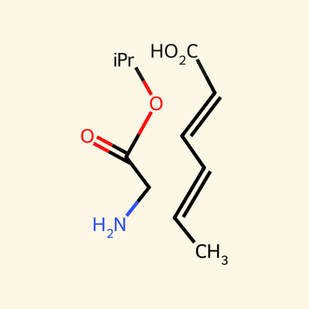 C/C=C/C=C/C(=O)O.CC(C)OC(=O)CN